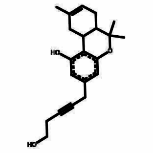 CC1=CCC2C(C1)c1c(O)cc(CC#CCCO)cc1OC2(C)C